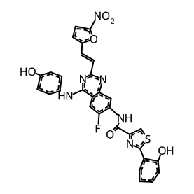 O=C(Nc1cc2nc(/C=C/c3ccc([N+](=O)[O-])o3)nc(Nc3ccc(O)cc3)c2cc1F)c1csc(-c2ccccc2O)n1